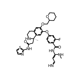 CN/C(=C\C=N)NC(=O)c1ccc(Oc2cc3c(cc2OCC2CCCCO2)CCN[C@]3(C)CC(=O)Nc2nccs2)cc1F